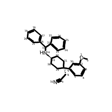 COc1cccc([C@]2(CC#N)CC[C@H](NC(c3ccccc3)c3ccccc3)CC2)c1